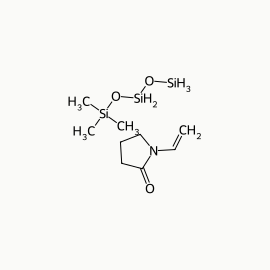 C=CN1CCCC1=O.C[Si](C)(C)O[SiH2]O[SiH3]